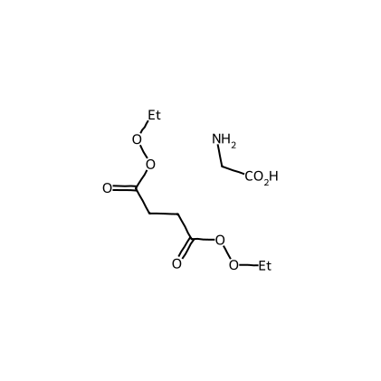 CCOOC(=O)CCC(=O)OOCC.NCC(=O)O